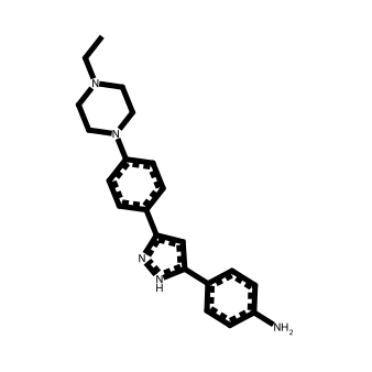 CCN1CCN(c2ccc(-c3cc(-c4ccc(N)cc4)[nH]n3)cc2)CC1